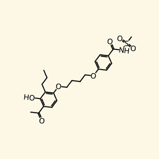 CCCc1c(OCCCCOc2ccc(C(=O)NS(C)(=O)=O)cc2)ccc(C(C)=O)c1O